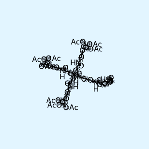 CC(=O)OC[C@H]1O[C@@H](OCCOCCNC(=O)CCOCC(COCCC(=O)NCCOCCO[C@H]2C[C@@H](OC(C)=O)[C@@H](OC(C)=O)[C@@H](COC(C)=O)O2)(COCCC(=O)NCCOCCO[C@H]2C[C@@H](OC(C)=O)[C@@H](OC(C)=O)[C@@H](COC(C)=O)O2)NC(=O)CCOCCOCCNC(=O)OC2CCC(OP(=O)(S)I)CC2)C[C@@H](OC(C)=O)[C@H]1OC(C)=O